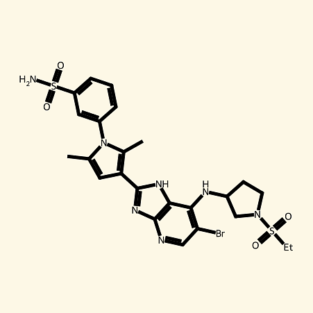 CCS(=O)(=O)N1CCC(Nc2c(Br)cnc3nc(-c4cc(C)n(-c5cccc(S(N)(=O)=O)c5)c4C)[nH]c23)C1